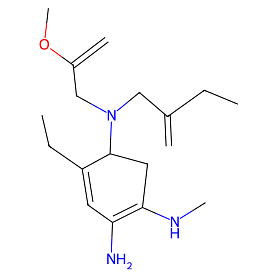 C=C(CC)CN(CC(=C)OC)C1CC(NC)=C(N)C=C1CC